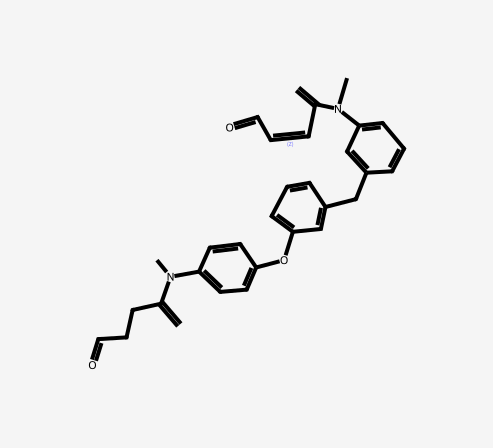 C=C(/C=C\C=O)N(C)c1cccc(Cc2cccc(Oc3ccc(N(C)C(=C)CCC=O)cc3)c2)c1